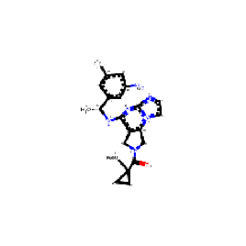 COC1(C(=O)N2Cc3c(N[C@H](C)c4cc(N)cc(C(F)(F)F)c4)nc4nccn4c3C2)CC1